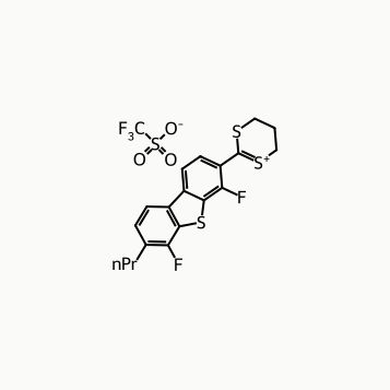 CCCc1ccc2c(sc3c(F)c(C4=[S+]CCCS4)ccc32)c1F.O=S(=O)([O-])C(F)(F)F